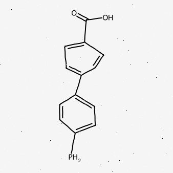 O=C(O)c1ccc(-c2ccc(P)cc2)cc1